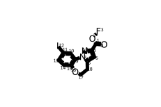 O=C(OF)c1cc2n(n1)-c1cc(I)ccc1OCC2